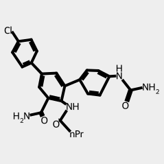 CCCC(=O)Nc1c(C(N)=O)cc(-c2ccc(Cl)cc2)cc1-c1ccc(NC(N)=O)cc1